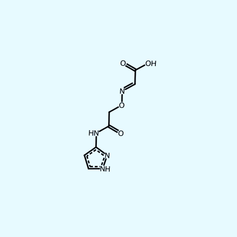 O=C(O)C=NOCC(=O)Nc1cc[nH]n1